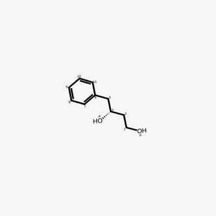 OCC[C@H](O)Cc1ccccc1